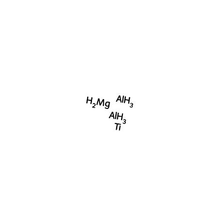 [AlH3].[AlH3].[MgH2].[Ti]